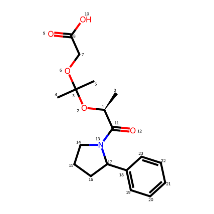 C[C@H](OC(C)(C)OCC(=O)O)C(=O)N1CCCC1c1ccccc1